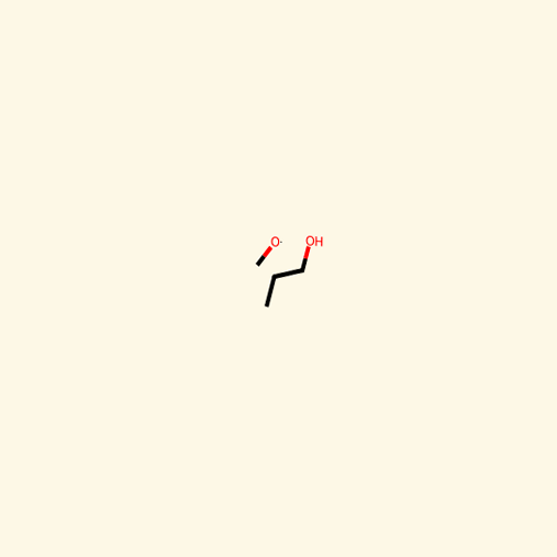 CCCO.C[O]